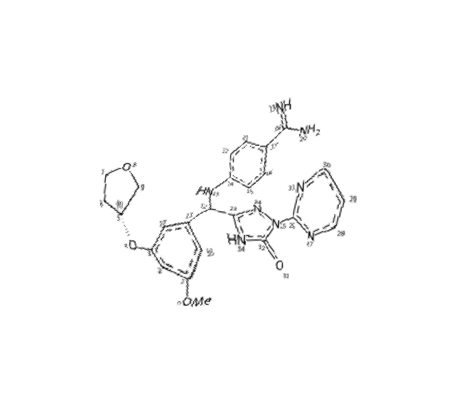 COc1cc(O[C@@H]2CCOC2)cc(C(Nc2ccc(C(=N)N)cc2)c2nn(-c3ncccn3)c(=O)[nH]2)c1